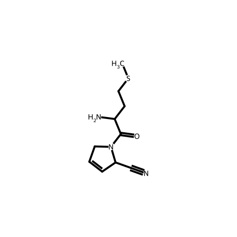 CSCCC(N)C(=O)N1CC=CC1C#N